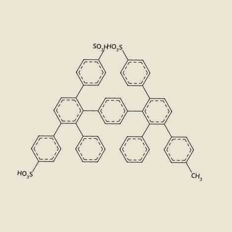 Cc1ccc(-c2ccc(-c3ccc(S(=O)(=O)O)cc3)c(-c3ccc(-c4c(-c5ccc(S(=O)(=O)O)cc5)ccc(-c5ccc(S(=O)(=O)O)cc5)c4-c4ccccc4)cc3)c2-c2ccccc2)cc1